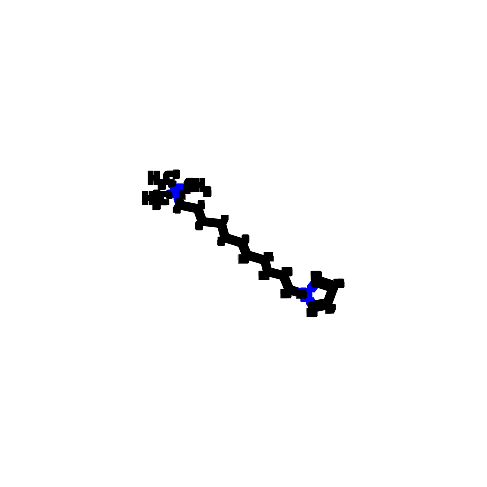 C[N+](C)(C)CCCCCCCCCCCn1cccc1